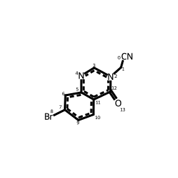 N#CCn1cnc2cc(Br)ccc2c1=O